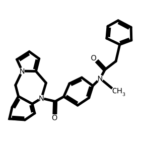 CN(C(=O)Cc1ccccc1)c1ccc(C(=O)N2Cc3cccn3Cc3ccccc32)cc1